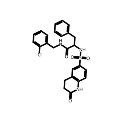 O=C1CCc2cc(S(=O)(=O)NC(Cc3ccccc3)C(=O)NCc3ccccc3Cl)ccc2N1